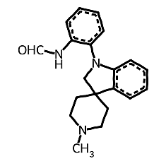 CN1CCC2(CC1)CN(c1ccccc1NC=O)c1ccccc12